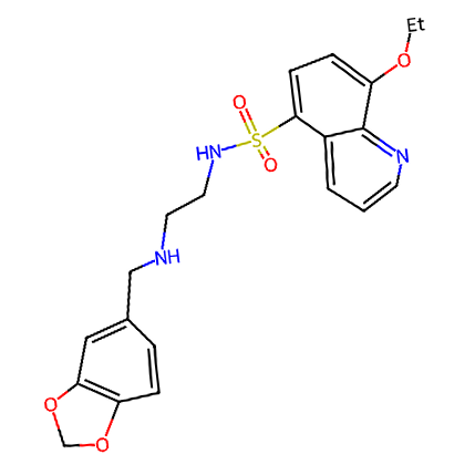 CCOc1ccc(S(=O)(=O)NCCNCc2ccc3c(c2)OCO3)c2cccnc12